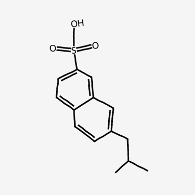 CC(C)Cc1ccc2ccc(S(=O)(=O)O)cc2c1